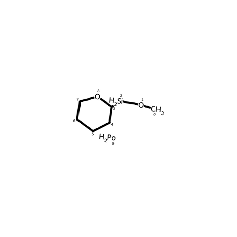 CO[SiH2]C1CCCCO1.[PoH2]